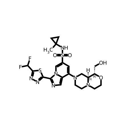 CC1(NS(=O)(=O)c2cc(N3CCN4CCO[C@@H](CO)[C@@H]4C3)c3cnc(-c4nnc(C(F)F)s4)n3c2)CC1